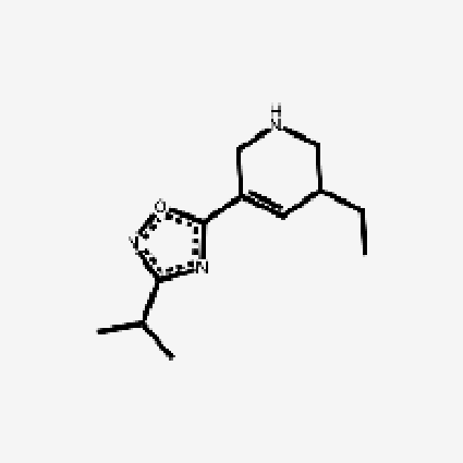 CCC1C=C(c2nc(C(C)C)no2)CNC1